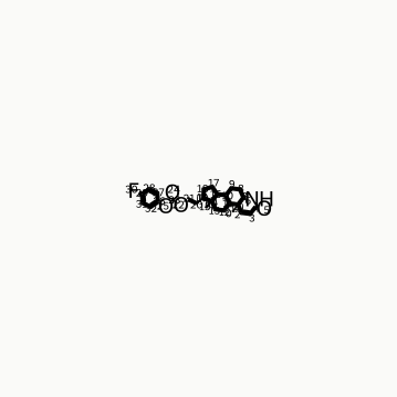 C[C@]12C=CC(=O)NC1CCC1C2CC[C@@]2(C)C1CC[C@@H]2CCOC(=O)Oc1ccc(F)cc1